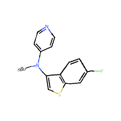 CCCCN(c1ccncc1)c1csc2cc(F)ccc12